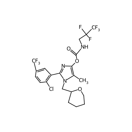 Cc1c(OC(=O)NCC(F)(F)C(F)(F)F)nc(-c2cc(C(F)(F)F)ccc2Cl)n1CC1CCCCO1